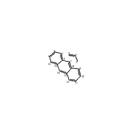 C=CC.c1ccc2cc3ccccc3cc2c1